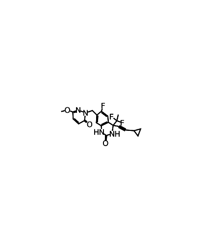 COc1ccc(=O)n(Cc2cc3c(cc2F)C(C#CC2CC2)(C(C)(F)F)NC(=O)N3)n1